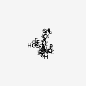 CN(C)C(=O)c1ccc(N2CCN(c3nc4c(c(Nc5cccc(F)c5)n3)[S+]([O-])CC4)CC2)cc1.O=C(O)C(F)(F)F